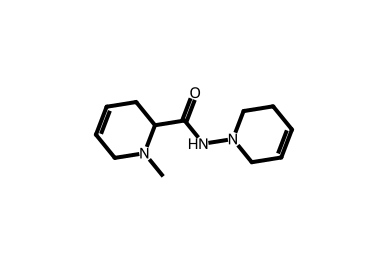 CN1CC=CCC1C(=O)NN1CC=CCC1